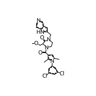 COCC1C(=O)N(Cc2cc3cnccc3[nH]2)CCN1C(=O)c1cc(C)n(-c2cc(Cl)cc(Cl)c2)c1C